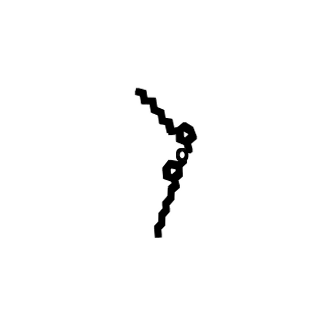 CCCCCCCC=Cc1cccc(COCc2cccc(C=CCCCCCCC)c2)c1